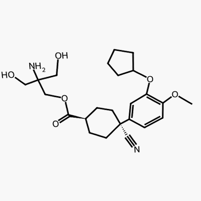 COc1ccc([C@]2(C#N)CC[C@H](C(=O)OCC(N)(CO)CO)CC2)cc1OC1CCCC1